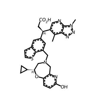 Cc1c([C@H](CC(=O)O)c2cc(CN3Cc4nc(O)ccc4O[C@H](C4CC4)C3)c3sccc3c2)cnc2c1nnn2C